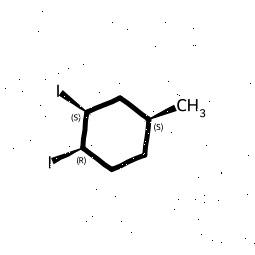 C[C@H]1CC[C@@H](I)[C@@H](I)C1